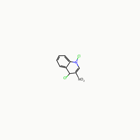 O=[N+]([O-])C1=CN(Cl)c2ccccc2C1Cl